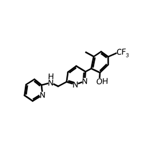 Cc1cc(C(F)(F)F)cc(O)c1-c1ccc(CNc2ccccn2)nn1